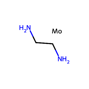 NCCN.[Mo]